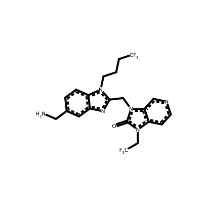 NCc1ccc2c(c1)nc(Cn1c(=O)n(CC(F)(F)F)c3ccncc31)n2CCCC(F)(F)F